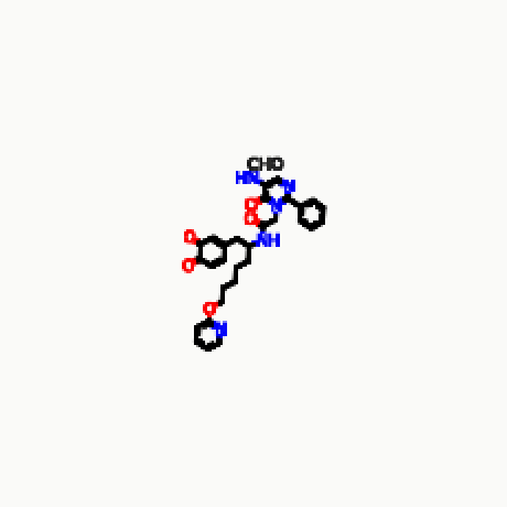 O=CNc1cnc(-c2ccccc2)n(CC(=O)NC(CCCCCOc2ccccn2)CC2=CC(=O)C(=O)C=C2)c1=O